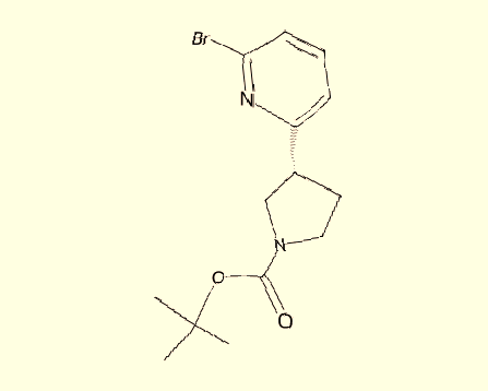 CC(C)(C)OC(=O)N1CC[C@@H](c2cccc(Br)n2)C1